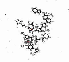 Cc1ncsc1-c1ccc([C@H](C)NC(=O)[C@@H]2C[C@@H](O)CN2C(=O)[C@@H](NC(=O)CCC(=O)N2CCC[C@@H](NC(=O)c3nc(N4CCCc5c4nnc(Nc4nc6ccccc6s4)c5C)ccc3-c3cnn(CC45CC6(OCCN7CCCC7)C[C@](C)(C4)C[C@](C)(C5)C6)c3C)C2)C(C)(C)C)cc1